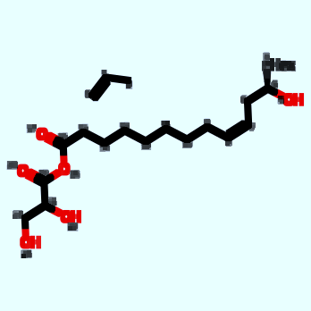 C=CC.CCCCCC[C@@H](O)C/C=C\CCCCCCCC(=O)OC(=O)C(O)CO